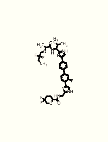 CCC(F)(F)COC(C)C(=O)NC(c1nc(-c2ccc(-c3ccc(-c4c[nH]c(CNC(=O)C5CCC(F)(F)CO5)n4)c(F)c3)cc2)c[nH]1)C(C)C